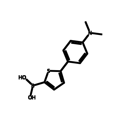 CN(C)c1ccc(-c2ccc(B(O)O)s2)cc1